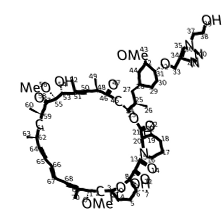 CO[C@H]1C[C@@H]2CC[C@@H](C)[C@@](O)(O2)C(=O)C(=O)N2CCCC[C@H]2C(=O)O[C@H]([C@H](C)C[C@@H]2CC[C@@H](OCc3cn(CCO)nn3)[C@H](OC)C2)CC(=O)[C@H](C)/C=C(\C)[C@@H](O)[C@@H](OC)C(=O)[C@H](C)C[C@H](C)/C=C/C=C/C=C/1C